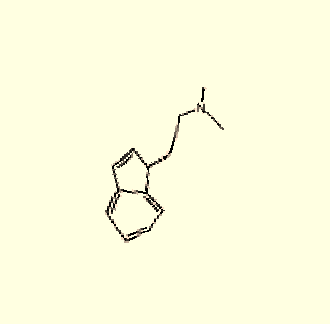 CN(C)CCC1C=Cc2ccccc21